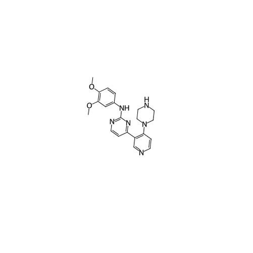 COc1ccc(Nc2nccc(-c3cnccc3N3CCNCC3)n2)cc1OC